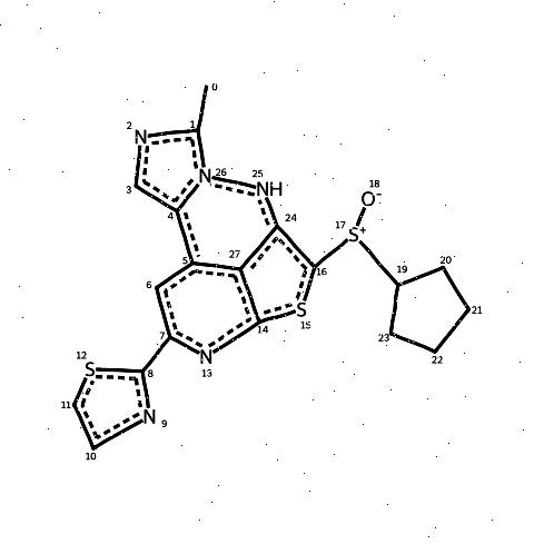 Cc1ncc2c3cc(-c4nccs4)nc4sc([S+]([O-])C5CCCC5)c([nH]n12)c43